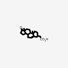 CC12CCC3C(CC=C4CC(CC(=O)O)CCC43C)C1CCC2=O